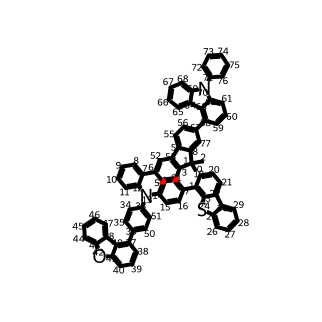 CC1(C)c2ccc(-c3ccccc3N(c3ccc(-c4cccc5c4sc4ccccc45)cc3)c3ccc(-c4cccc5oc6ccccc6c45)cc3)cc2-c2ccc(-c3cccc4c3c3ccccc3n4-c3ccccc3)cc21